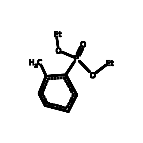 CCOP(=O)(OCC)c1ccccc1C